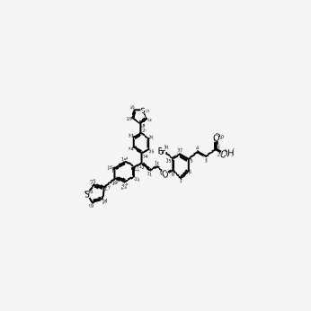 O=C(O)CCc1ccc(OCC=C(c2ccc(-c3ccsc3)cc2)c2ccc(-c3ccsc3)cc2)c(Br)c1